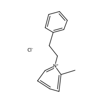 Cc1cccc[n+]1CCc1ccccc1.[Cl-]